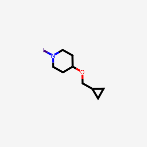 IN1CCC(OCC2CC2)CC1